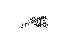 CC/C=C/CCOc1cccc2c(OC(C)C)c(OC(=O)c3ccccc3)c(=O)oc12